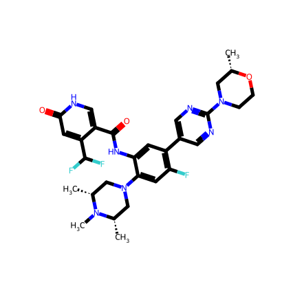 C[C@@H]1CN(c2cc(F)c(-c3cnc(N4CCO[C@@H](C)C4)nc3)cc2NC(=O)c2c[nH]c(=O)cc2C(F)F)C[C@H](C)N1C